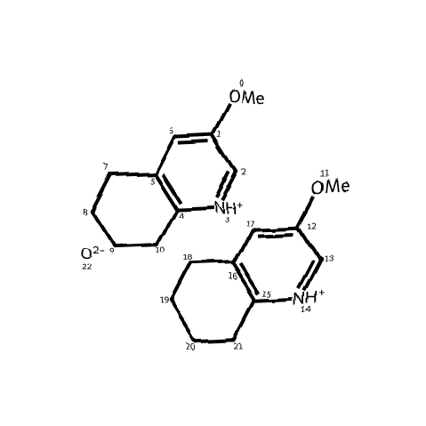 COc1c[nH+]c2c(c1)CCCC2.COc1c[nH+]c2c(c1)CCCC2.[O-2]